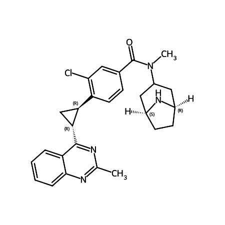 Cc1nc([C@@H]2C[C@H]2c2ccc(C(=O)N(C)C3C[C@H]4CC[C@@H](C3)N4)cc2Cl)c2ccccc2n1